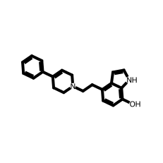 Oc1ccc(CCN2CC=C(c3ccccc3)CC2)c2cc[nH]c12